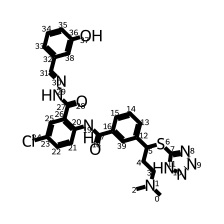 CN(C)CCC(Sc1nnn[nH]1)c1cccc(C(=O)Nc2ccc(Cl)cc2C(=O)NN=Cc2cccc(O)c2)c1